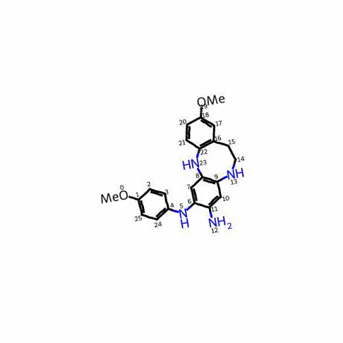 COc1ccc(Nc2cc3c(cc2N)NCCc2cc(OC)ccc2N3)cc1